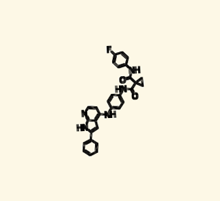 O=C(Nc1ccc(F)cc1)C1(C(=O)Nc2ccc(Nc3ccnc4[nH]c(-c5ccccc5)cc34)cc2)CC1